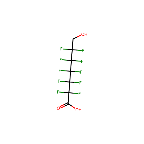 O=C(O)C(F)(F)C(F)(F)C(F)(F)C(F)(F)C(F)(F)CO